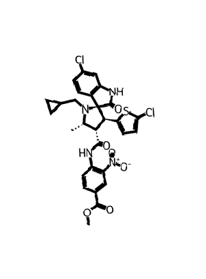 COC(=O)c1ccc(NC(=O)[C@@H]2[C@H](C)N(CC3CC3)[C@@]3(C(=O)Nc4cc(Cl)ccc43)[C@H]2c2ccc(Cl)s2)c([N+](=O)[O-])c1